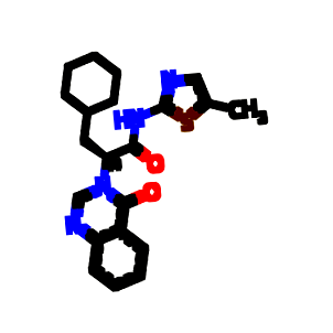 Cc1cnc(NC(=O)[C@H](CC2CCCCC2)n2cnc3ccccc3c2=O)s1